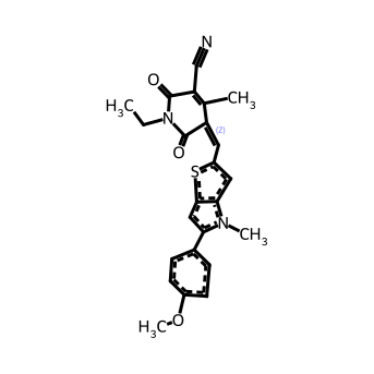 CCN1C(=O)C(C#N)=C(C)/C(=C/c2cc3c(cc(-c4ccc(OC)cc4)n3C)s2)C1=O